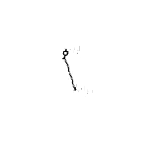 C=C(COCCOCCOCCOCCOC(=O)c1ccc(C(=O)O)c(C(=O)O)c1)C(=O)OCC